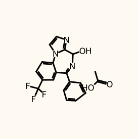 CC(=O)O.OC1N=C(c2ccccc2)c2cc(C(F)(F)F)ccc2-n2ccnc21